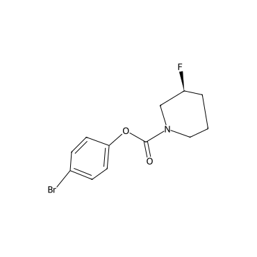 O=C(Oc1ccc(Br)cc1)N1CCC[C@H](F)C1